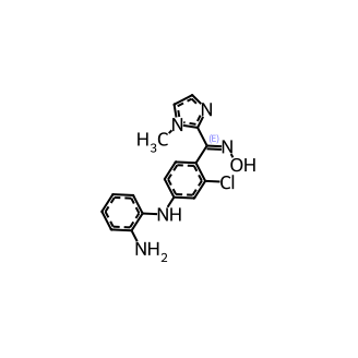 Cn1ccnc1/C(=N/O)c1ccc(Nc2ccccc2N)cc1Cl